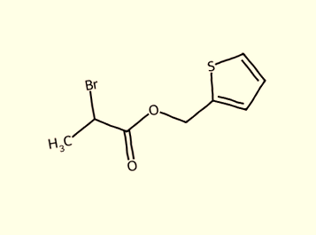 CC(Br)C(=O)OCc1cccs1